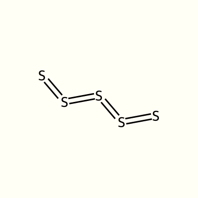 S=S=S=S=S